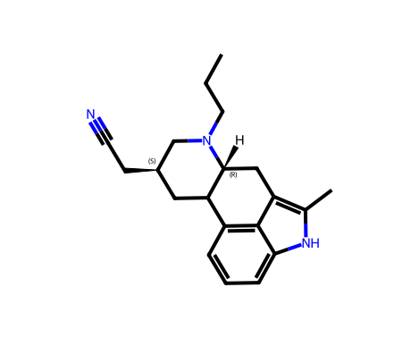 CCCN1C[C@H](CC#N)CC2c3cccc4[nH]c(C)c(c34)C[C@H]21